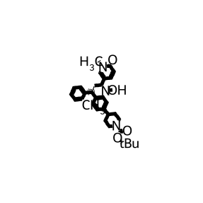 Cc1ccccc1[C@H](CC(=NO)c1ccc(=O)n(C)c1)c1ccc(C2CCN(C(=O)OC(C)(C)C)CC2)cc1